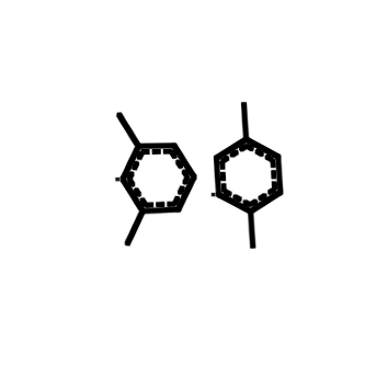 Cc1[c]c(C)ccc1.Cc1[c]cc(C)cc1